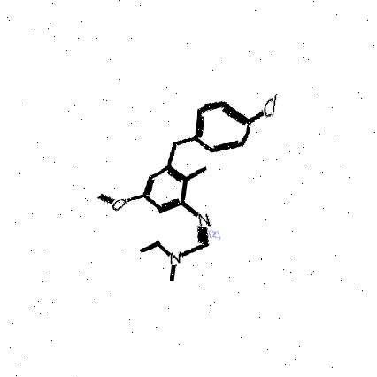 CCN(C)/C=N\c1cc(OC)cc(Cc2ccc(Cl)cc2)c1C